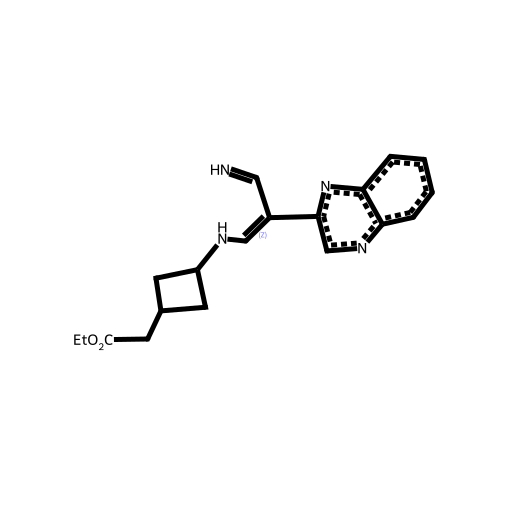 CCOC(=O)CC1CC(N/C=C(\C=N)c2cnc3ccccc3n2)C1